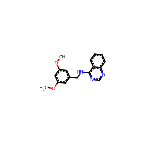 COc1cc(CNc2ncnc3ccccc23)cc(OC)c1